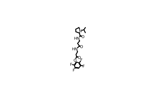 CC(C)N1CCCC1C(=O)NCCC(=O)NCCC(=O)Oc1c(F)c(F)cc(F)c1F